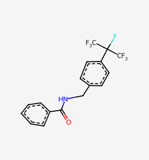 O=C(NCc1ccc(C(F)(C(F)(F)F)C(F)(F)F)cc1)c1ccccc1